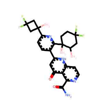 BC1CC(F)(F)CCC1(B)c1nc(C2(B)CC(F)(F)C2)ccc1-c1cc(=O)c2c(C(N)=O)nccc2[nH]1